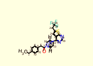 CCc1ccc(CC(=O)N2C[C@@H]3CC[C@H]2CN3c2ncnc3sc(CC(F)(F)F)cc23)cc1